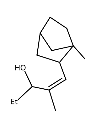 CCC(O)C(C)=CC1CC2CCC1(C)C2